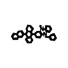 C=Nc1ccccc1N(Cc1ccccc1)C1=CCC(C2=C3C=CCCC3C(C3=CCC4C=CC=CC4=C3)C3=C2CCC=C3)C=C1